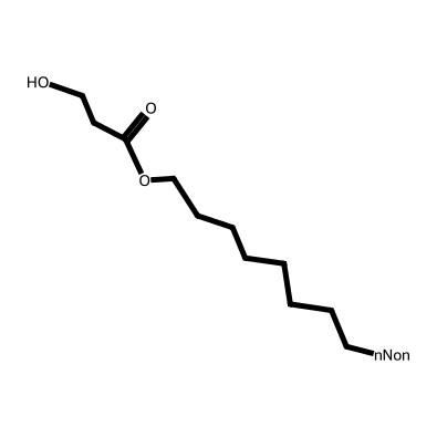 CCCCCCCCCCCCCCCCCOC(=O)CCO